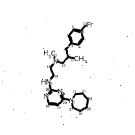 CC(Cc1ccc(C(C)C)cc1)CN(C)CCNc1nccc(N2CCCCCC2)n1